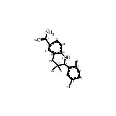 Cc1ccc(F)cc1C1Nc2ccc(C(N)=O)cc2CC1(C)C